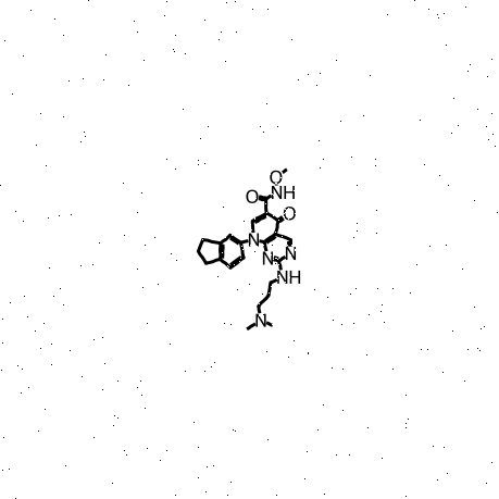 CONC(=O)c1cn(-c2ccc3c(c2)CCC3)c2nc(NCCCN(C)C)ncc2c1=O